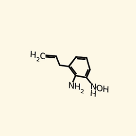 C=CCc1cccc(NO)c1N